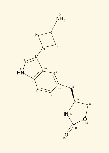 NC1CC(c2c[nH]c3ccc(C[C@H]4COC(=O)N4)cc23)C1